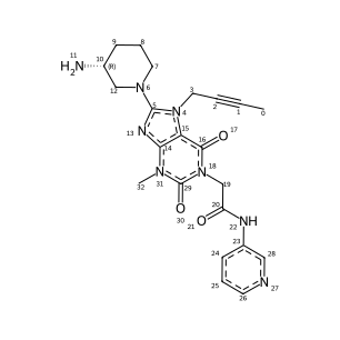 CC#CCn1c(N2CCC[C@@H](N)C2)nc2c1c(=O)n(CC(=O)Nc1cccnc1)c(=O)n2C